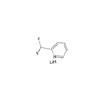 FC(F)c1cc[c]cn1.[LiH]